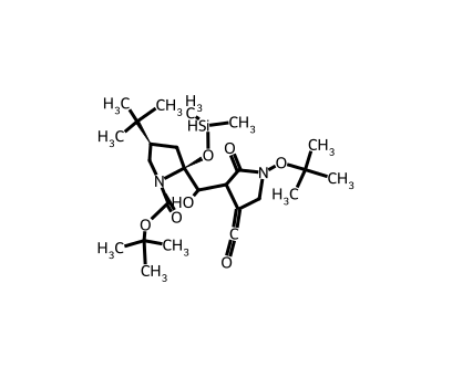 C[SiH](C)O[C@]1(C(O)C2C(=O)N(OC(C)(C)C)CC2=C=O)C[C@H](C(C)(C)C)CN1C(=O)OC(C)(C)C